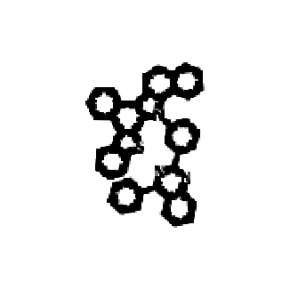 c1ccc(-c2nc(-c3cccc(-n4c5c6ccccc6ccc5c5c6ccccc6c6c7ccccc7sc6c54)c3)nc3ccccc23)cc1